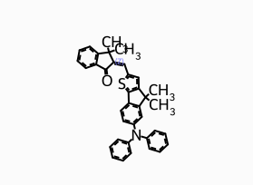 CC1(C)/C(=C/c2cc3c(s2)-c2ccc(N(c4ccccc4)c4ccccc4)cc2C3(C)C)C(=O)c2ccccc21